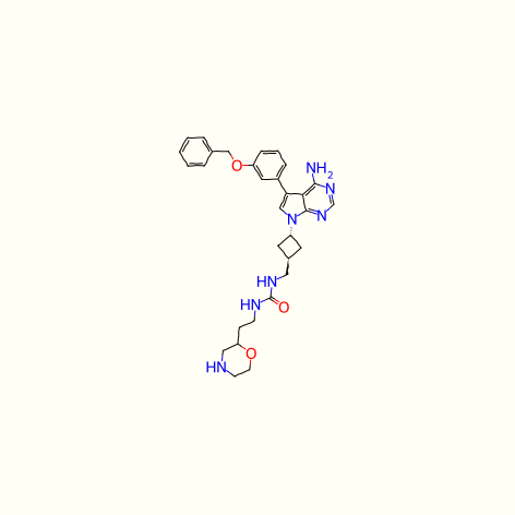 Nc1ncnc2c1c(-c1cccc(OCc3ccccc3)c1)cn2[C@H]1C[C@H](CNC(=O)NCCC2CNCCO2)C1